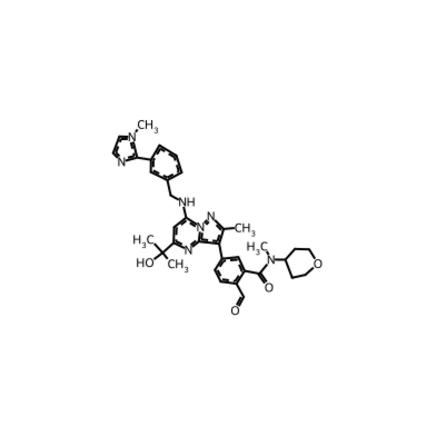 Cc1nn2c(NCc3cccc(-c4nccn4C)c3)cc(C(C)(C)O)nc2c1-c1ccc(C=O)c(C(=O)N(C)C2CCOCC2)c1